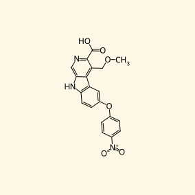 COCc1c(C(=O)O)ncc2[nH]c3ccc(Oc4ccc([N+](=O)[O-])cc4)cc3c12